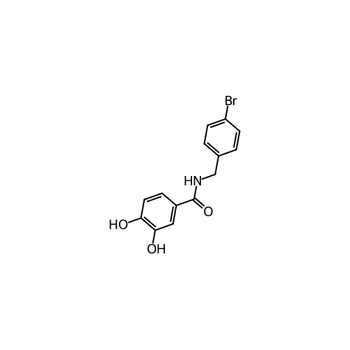 O=C(NCc1ccc(Br)cc1)c1ccc(O)c(O)c1